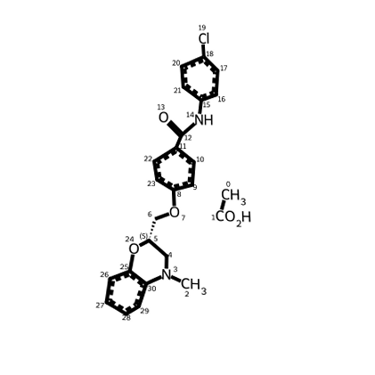 CC(=O)O.CN1C[C@@H](COc2ccc(C(=O)Nc3ccc(Cl)cc3)cc2)Oc2ccccc21